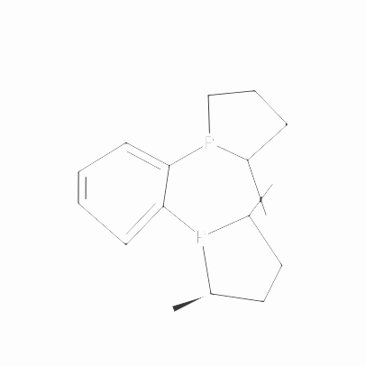 CC1CC[C@@H](C)P1c1ccccc1P1C(C)CC[C@H]1C